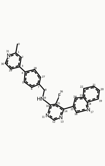 Cc1cc(-c2ccc(CNc3ncnc(-c4cnc5ccccc5c4)c3F)cc2)ccn1